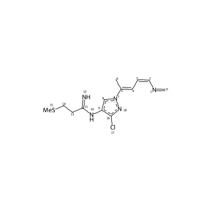 C=N/C=C\C=C(/C)n1cc(NC(=N)CCSC)c(Cl)n1